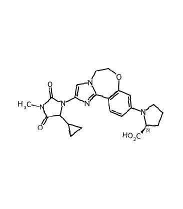 CN1C(=O)C(C2CC2)N(c2cn3c(n2)-c2ccc(N4CCC[C@H]4C(=O)O)cc2OCC3)C1=O